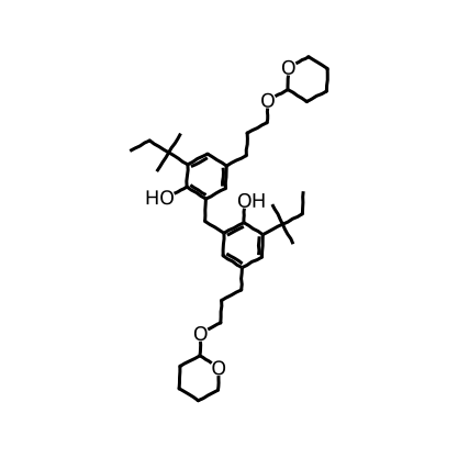 CCC(C)(C)c1cc(CCCOC2CCCCO2)cc(Cc2cc(CCCOC3CCCCO3)cc(C(C)(C)CC)c2O)c1O